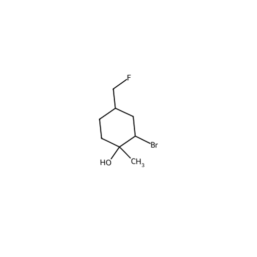 CC1(O)CCC(CF)CC1Br